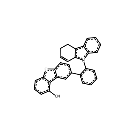 N#Cc1cccc2oc3ccc(-c4ccccc4-n4c5c(c6ccccc64)CCC=C5)cc3c12